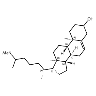 CNC(C)CCC[C@@H](C)[C@H]1CC[C@H]2[C@@H]3CC=C4CC(O)CC[C@]4(C)[C@H]3CC[C@]12C